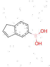 OB(O)c1ccc2c(c1)C=CC2